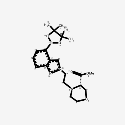 COC(=O)[C@@H]1COCCN1CCn1cc2c(B3OC(C)(C)C(C)(C)O3)cccc2n1